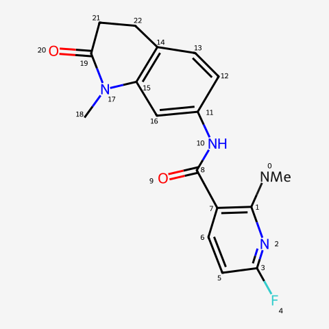 CNc1nc(F)ccc1C(=O)Nc1ccc2c(c1)N(C)C(=O)CC2